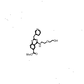 COC(=O)c1ccc2nc(Cc3cccnc3)nc(NCCOCCO)c2c1